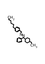 C=CCCCCc1ccc(C=NN=C(c2ccccc2)C2CCC(CC)CC2)cc1